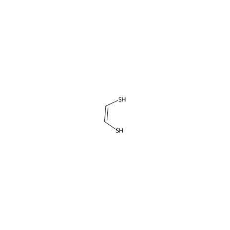 S/C=C\S